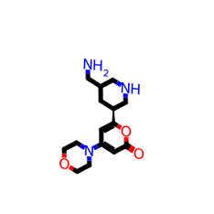 NCC1CNC[C@@H](c2cc(N3CCOCC3)cc(=O)o2)C1